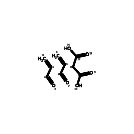 C=CC=O.C=CC=O.O=C(O)CC(=O)O